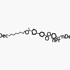 CCCCCCCCCCCCCCCCCCOC(C)c1ccc(-c2ccc(C(=O)Oc3ccc(C(CCC)CCCCCCCCCCC)cc3)cc2)cc1